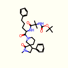 CN1CC(c2ccccc2)C2(CCCN(C(=O)C(CCCc3ccccc3)NC(=O)C(C)(C)NC(=O)OC(C)(C)C)C2)C1=O